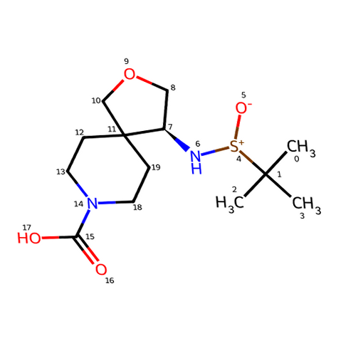 CC(C)(C)[S+]([O-])N[C@@H]1COCC12CCN(C(=O)O)CC2